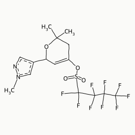 Cn1cc(C2C=C(OS(=O)(=O)C(F)(F)C(F)(F)C(F)(F)C(F)(F)F)CC(C)(C)O2)cn1